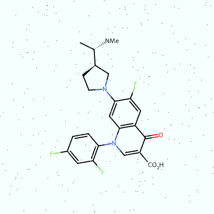 CN[C@@H](C)[C@@H]1CCN(c2cc3c(cc2F)c(=O)c(C(=O)O)cn3-c2ccc(F)cc2F)C1